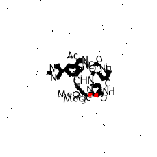 COC1CCC(=O)NC[C@@]23C[C@@H](C(=O)Nc4cccc(C(F)(F)F)n4)N(C(=O)Cn4nc(C(C)=O)c5cc(-c6cnc(C)nc6)cc(c54)CCC1OC)[C@@H]2C3